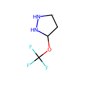 FC(F)(F)OC1C[CH]NN1